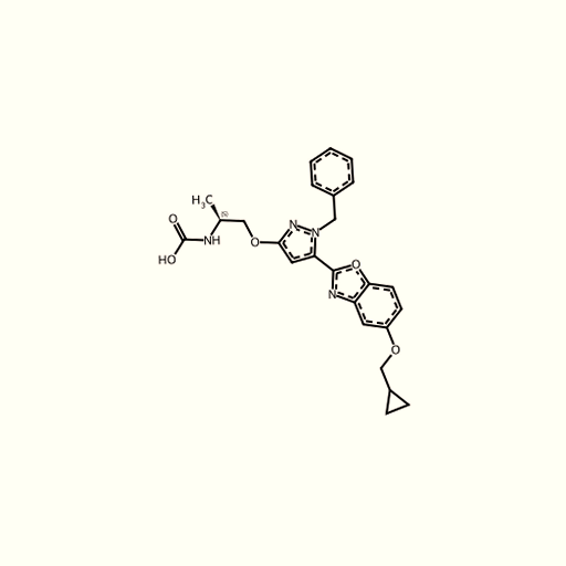 C[C@@H](COc1cc(-c2nc3cc(OCC4CC4)ccc3o2)n(Cc2ccccc2)n1)NC(=O)O